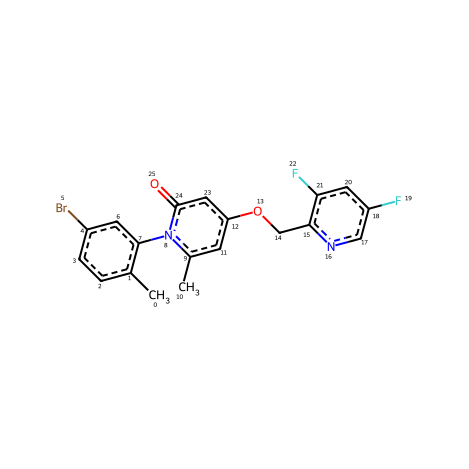 Cc1ccc(Br)cc1-n1c(C)cc(OCc2ncc(F)cc2F)cc1=O